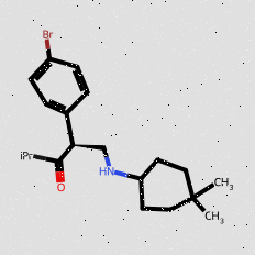 CC(C)C(=O)[C@H](CNC1CCC(C)(C)CC1)c1ccc(Br)cc1